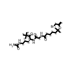 C=C(CBr)OC(C)(C)CCCCC(=O)NCC(=O)N[C@@H](CCCNC(N)=O)C(=O)C(C)(C)C